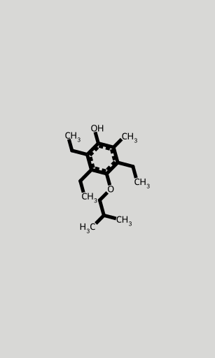 CCc1c(O)c(C)c(CC)c(OCC(C)C)c1CC